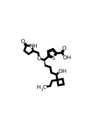 CCCC1(C(O)CCC[C@@H](OCC2CCC(=O)N2)c2ccc(C(=O)O)s2)CCC1